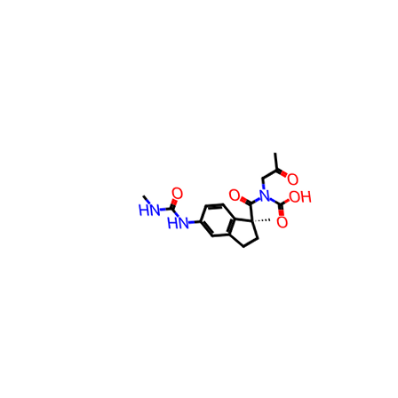 CNC(=O)Nc1ccc2c(c1)CC[C@]2(C)C(=O)N(CC(C)=O)C(=O)O